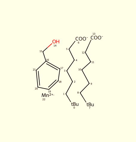 CC(C)(C)CCCCCC(=O)[O-].CC(C)(C)CCCCCC(=O)[O-].OCc1ccccc1.[Mn+2]